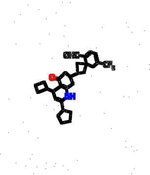 O=CC1=CC=C(C(F)(F)F)CC12CC(C1CC(=O)C3=C(C1)NC(C1CCCC1)=CC3C1CCC1)C2